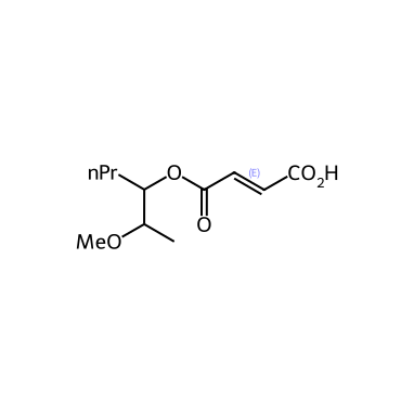 CCCC(OC(=O)/C=C/C(=O)O)C(C)OC